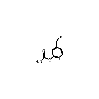 NC(=O)Oc1cc(CBr)ccn1